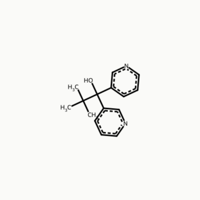 CC(C)(C)C(O)(c1cccnc1)c1cccnc1